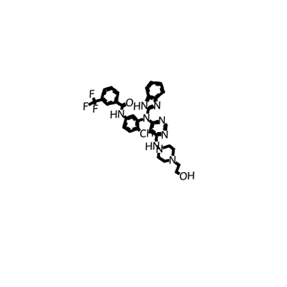 Cc1ccc(NC(=O)c2cccc(C(F)(F)F)c2)cc1N(c1cc(NN2CCN(CCO)CC2)ncn1)c1nc2ccccc2[nH]1